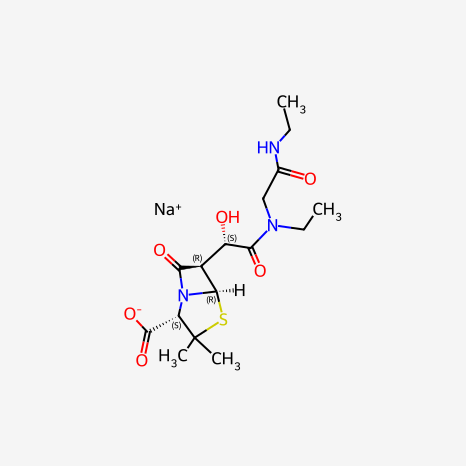 CCNC(=O)CN(CC)C(=O)[C@@H](O)[C@@H]1C(=O)N2[C@@H]1SC(C)(C)[C@@H]2C(=O)[O-].[Na+]